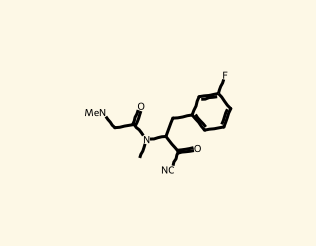 CNCC(=O)N(C)C(Cc1cccc(F)c1)C(=O)C#N